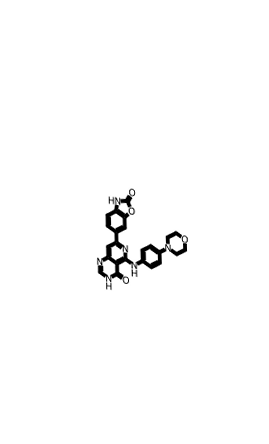 O=c1[nH]c2ccc(-c3cc4nc[nH]c(=O)c4c(Nc4ccc(N5CCOCC5)cc4)n3)cc2o1